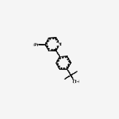 CC(C)c1ccnc(-c2ccc(C(C)(C)O)cc2)c1